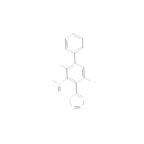 O=[N+]([O-])c1c(O)c(-c2ccccc2)cc(Cl)c1-c1nnn[nH]1